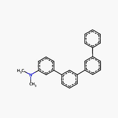 CN(C)c1cccc(-c2cccc(-c3cccc(-c4ccccc4)c3)c2)c1